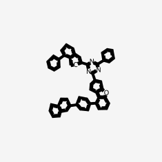 c1ccc(-c2nc(-c3ccc4c(-c5ccccc5)cccc4c3)nc(-c3ccc4c(c3)oc3cccc(-c5ccc(-c6ccc7ccccc7c6)cc5)c34)n2)cc1